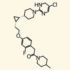 CC1CCN(C(=O)Cc2ccc(OCC[C@@H]3C[C@@H]3C3CCN(C4=NC=C(Cl)CN4)CC3)cc2F)CC1